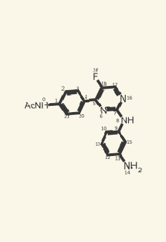 CC(=O)Nc1ccc(-c2nc(Nc3cccc(N)c3)ncc2F)cc1